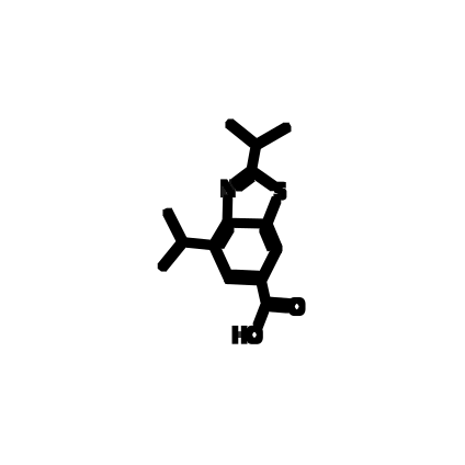 CC(C)c1nc2c(C(C)C)cc(C(=O)O)cc2s1